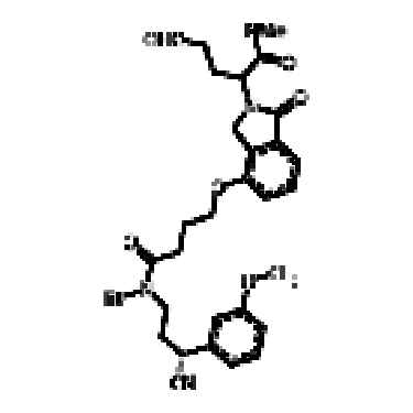 CCN(CC[C@@H](C#N)c1cccc(OC(F)(F)F)c1)C(=O)CCCOc1cccc2c1CN(C(CCC=O)C(=O)NC)C2=O